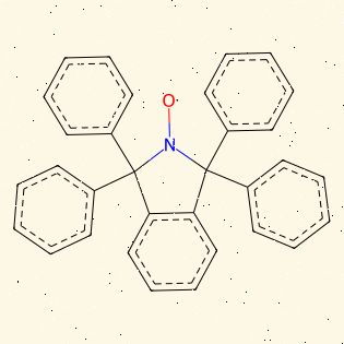 [O]N1C(c2ccccc2)(c2ccccc2)c2ccccc2C1(c1ccccc1)c1ccccc1